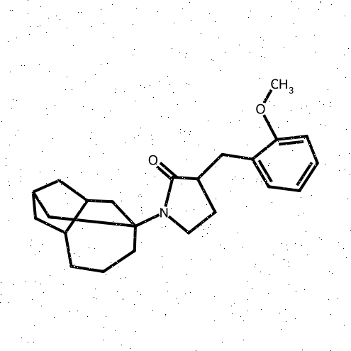 COc1ccccc1CC1CCN(C23CCCC4CC(CC4C2)C3)C1=O